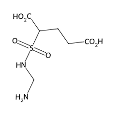 NCNS(=O)(=O)C(CCC(=O)O)C(=O)O